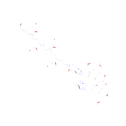 CC(=O)NCCN(CCN(CCN(CCN(CCNC(=O)c1cn(CC2O[C@@H](O[C@H]3OC(Cn4cc(C)nn4)[C@@H](OC(C)=O)[C@H](OC(C)=O)C3OC(C)=O)C(OC(C)=O)C(OC(C)=O)[C@@H]2OC(C)=O)nn1)C(=O)OC(C)(C)C)C(=O)OC(C)(C)C)C(=O)OC(C)(C)C)C(=O)OC(C)(C)C